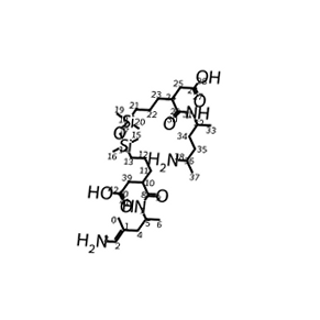 C/C(=C\N)CC(C)NC(=O)C(CCC[Si](C)(C)O[Si](C)(C)CCCC(CC(=O)O)C(=O)NC(C)CCC(C)N)CC(=O)O